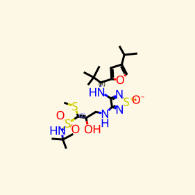 CS/C(=C(/O)CNc1n[s+]([O-])nc1N[C@@H](c1cc(C(C)C)co1)C(C)(C)C)S(=O)(=O)NC(C)(C)C